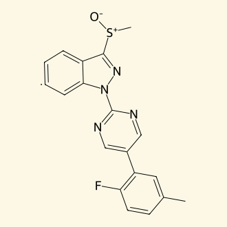 Cc1ccc(F)c(-c2cnc(-n3nc([S+](C)[O-])c4cc[c]cc43)nc2)c1